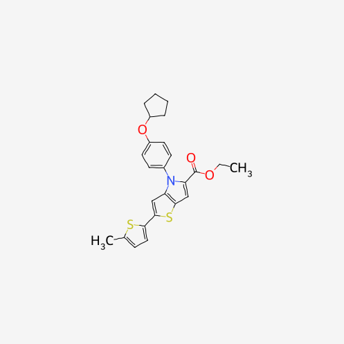 CCOC(=O)c1cc2sc(-c3ccc(C)s3)cc2n1-c1ccc(OC2CCCC2)cc1